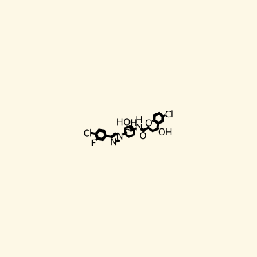 O=C(NC12CCC(n3cnc(-c4ccc(Cl)c(F)c4)c3)(CC1)C[C@@H]2O)C1CC(O)c2cc(Cl)ccc2O1